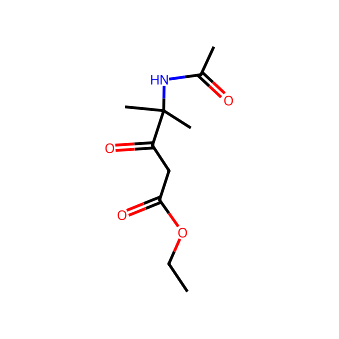 CCOC(=O)CC(=O)C(C)(C)NC(C)=O